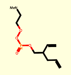 C=CCC(C=C)CO[PH](=O)OOCCNC